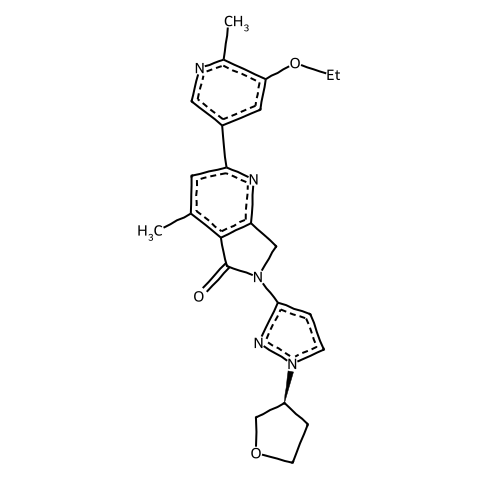 CCOc1cc(-c2cc(C)c3c(n2)CN(c2ccn([C@H]4CCOC4)n2)C3=O)cnc1C